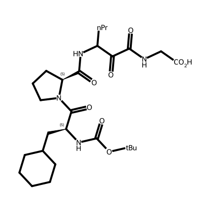 CCCC(NC(=O)[C@@H]1CCCN1C(=O)[C@H](CC1CCCCC1)NC(=O)OC(C)(C)C)C(=O)C(=O)NCC(=O)O